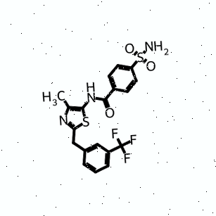 Cc1nc(Cc2cccc(C(F)(F)F)c2)sc1NC(=O)c1ccc(S(N)(=O)=O)cc1